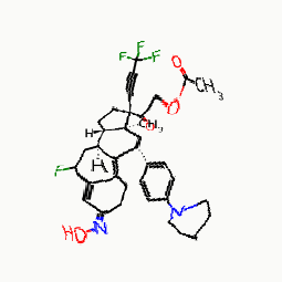 CC(=O)OCC(=O)[C@@]1(C#CC(F)(F)F)CC[C@H]2[C@@H]3CC(F)C4=CC(=NO)CCC4=C3[C@@H](c3ccc(N4CCCCC4)cc3)C[C@@]21C